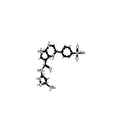 CC(C)S(=O)(=O)c1ccc(-c2cnc3[nH]cc(C(=O)Nc4cc(C(C)(C)C)on4)c3n2)cc1